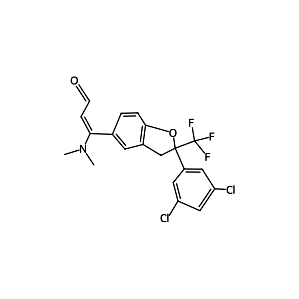 CN(C)/C(=C/C=O)c1ccc2c(c1)CC(c1cc(Cl)cc(Cl)c1)(C(F)(F)F)O2